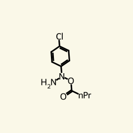 CCCC(=O)ON(N)c1ccc(Cl)cc1